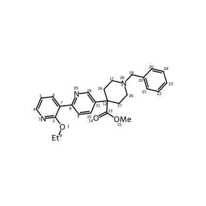 CCOc1ncccc1-c1ccc(C2(C(=O)OC)CCN(Cc3ccccc3)CC2)cn1